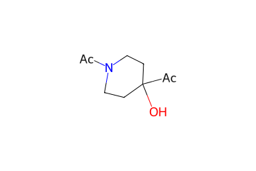 CC(=O)N1CCC(O)(C(C)=O)CC1